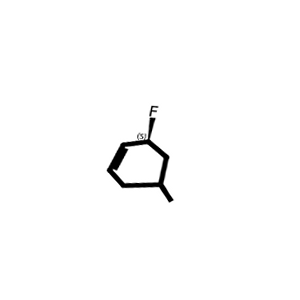 CC1CC=C[C@@H](F)C1